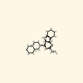 Nc1nc(N2CCN3CCCCC3C2)c2sc3c(c2n1)CCCC3